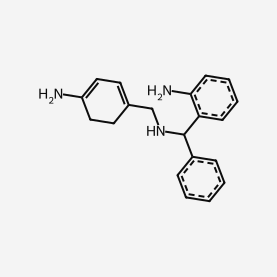 NC1=CC=C(CNC(c2ccccc2)c2ccccc2N)CC1